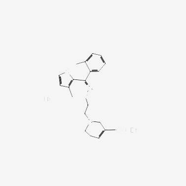 CCOC(=O)C1=CCCN(CCON=C(c2ccccc2C)c2sccc2C)C1.Cl